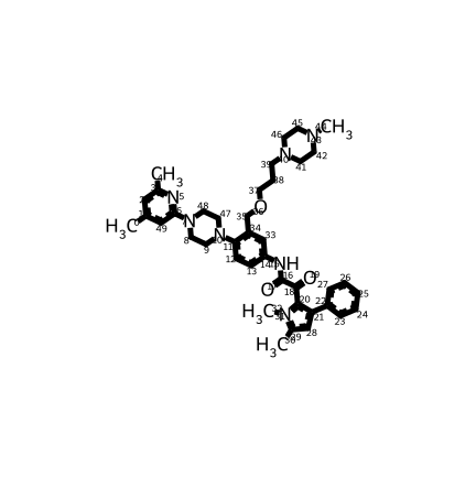 Cc1cc(C)nc(N2CCN(c3ccc(NC(=O)C(=O)c4c(-c5ccccc5)cc(C)n4C)cc3COCCCN3CCN(C)CC3)CC2)c1